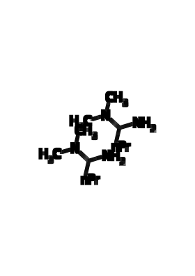 CCCC(N)N(C)C.CCCC(N)N(C)C